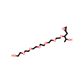 CC(O)C(CC1CO1)OCCOCCOCCOCCOCCOCCO